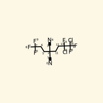 N#CC(C#N)(CCC(F)(F)F)CCC(F)(Cl)C(F)(F)Cl